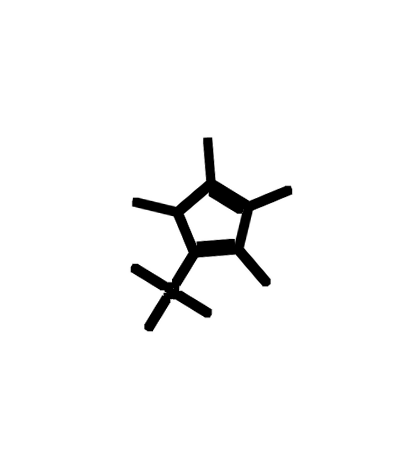 CC1=C(C)C(C)C([Si](C)(C)C)=C1C